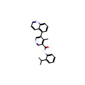 Cc1c(C(=O)Nc2ccccc2C(C)C)cncc1-c1cccc2ncccc12